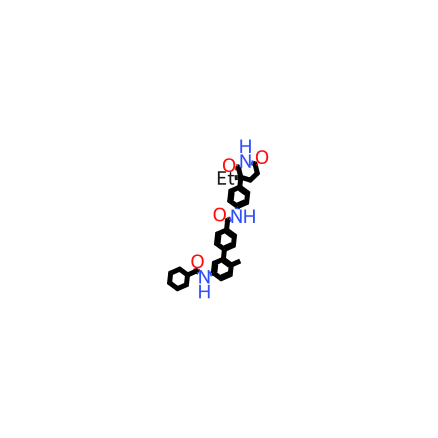 CCC1(c2ccc(NC(=O)c3ccc(-c4cc(NC(=O)C5CCCCC5)ccc4C)cc3)cc2)CCC(=O)NC1=O